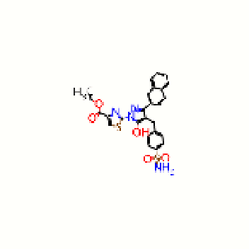 CCOC(=O)c1csc(-n2nc(-c3ccc4ccccc4c3)c(Cc3ccc(S(N)(=O)=O)cc3)c2O)n1